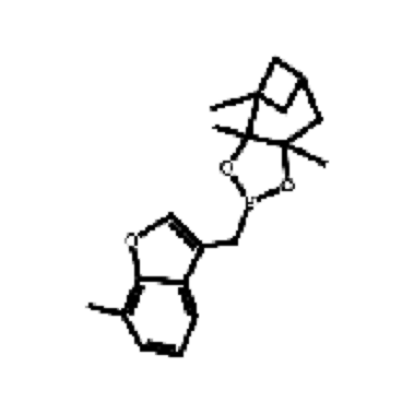 Cc1cccc2c(CB3OC4(C)CC5CC(C)(C5)C4(C)O3)coc12